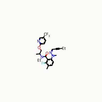 CCC#C/C=N\N(C)c1ccc(C)c(F)c1C(=O)N(CC)C(C)COc1ccc(C(F)(F)F)cn1